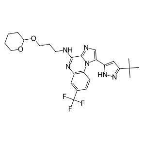 CC(C)(C)c1cc(-c2cnc3c(NCCCOC4CCCCO4)nc4cc(C(F)(F)F)ccc4n23)[nH]n1